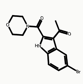 CC(=O)c1c(C(=O)N2CCOCC2)[nH]c2ccc(Br)cc12